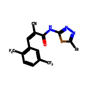 CCc1nnc(NC(=O)C(C#N)=Cc2cc(C(F)(F)F)ccc2C(F)(F)F)s1